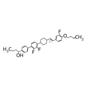 C=CCCOc1ccc(/C=C/C2CCC(c3ccc(-c4ccc(C(O)CCC)cc4)c(F)c3F)CC2)cc1F